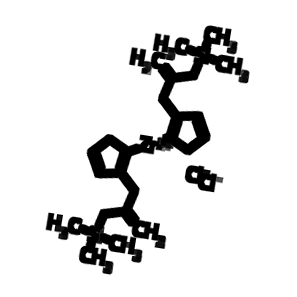 C=C(CC1=[C]([Zr+2][C]2=C(CC(=C)C[Si](C)(C)C)C=CC2)CC=C1)C[Si](C)(C)C.[Cl-].[Cl-]